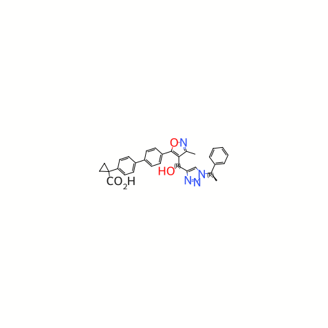 Cc1noc(-c2ccc(-c3ccc(C4(C(=O)O)CC4)cc3)cc2)c1[C@@H](O)c1cn([C@H](C)c2ccccc2)nn1